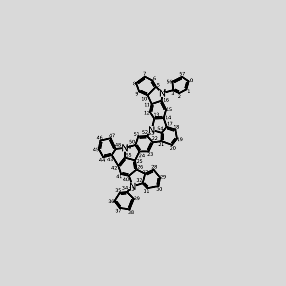 c1ccc(-n2c3ccccc3c3cc4c(cc32)c2cccc3c5cc6c7c8c9ccccc9n(-c9ccccc9)c8cc8c9ccccc9n(c6cc5n4c23)c87)cc1